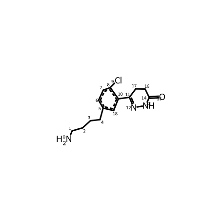 NCCCCc1ccc(Cl)c(C2=NNC(=O)CC2)c1